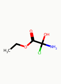 CCOC(=O)C(N)(O)Cl